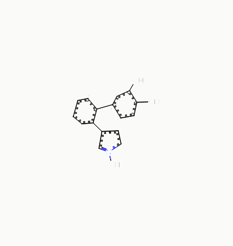 Cc1ccc(-c2ccccc2-c2ccn(C)c2)cc1C